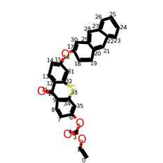 C=COC(=O)Oc1ccc2c(=O)c3ccc(Oc4ccc5cc6ccccc6cc5c4)cc3sc2c1